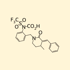 CC1CCN(Cc2ccccc2N(C(=O)O)S(=O)(=O)C(F)(F)F)C(=O)C1=Cc1ccccc1